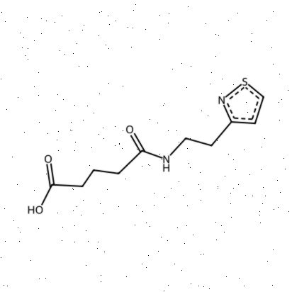 O=C(O)CCCC(=O)NCCc1ccsn1